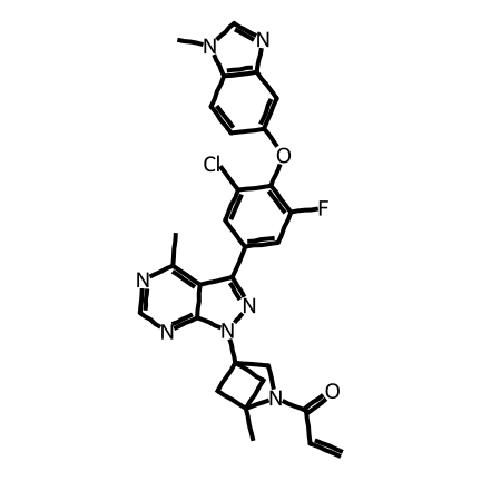 C=CC(=O)N1CC2(n3nc(-c4cc(F)c(Oc5ccc6c(c5)ncn6C)c(Cl)c4)c4c(C)ncnc43)CC1(C)C2